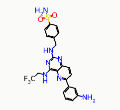 Nc1cccc(-c2ccc3nc(NCc4ccc(S(N)(=O)=O)cc4)nc(NCC(F)(F)F)c3n2)c1